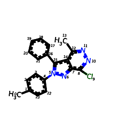 Cc1ccc(-n2nc3c(Cl)nnc(C)c3c2-c2ccccc2)cc1